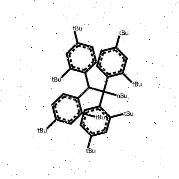 [CH2]CCCC([C](c1ccc(C(C)(C)C)cc1C(C)(C)C)c1ccc(C(C)(C)C)cc1C(C)(C)C)(c1ccc(C(C)(C)C)cc1C(C)(C)C)c1ccc(C(C)(C)C)cc1C(C)(C)C